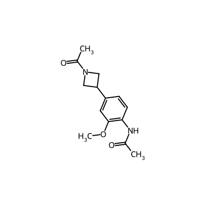 COc1cc(C2CN(C(C)=O)C2)ccc1NC(C)=O